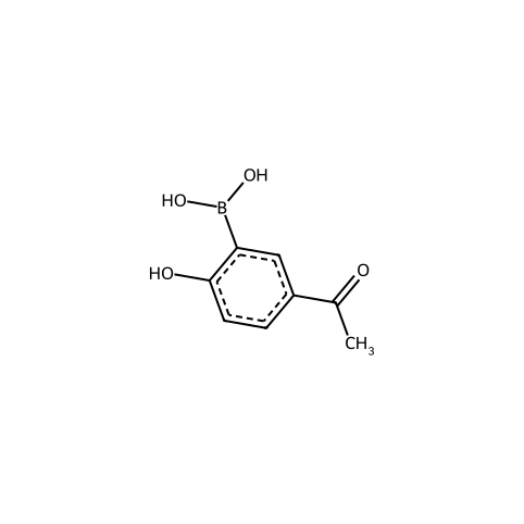 CC(=O)c1ccc(O)c(B(O)O)c1